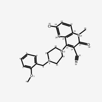 COc1ccccc1CN1CCN(c2c(C#N)c(=O)n(C)c3ccc(Cl)nc23)CC1